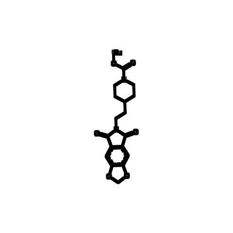 CC(C)(C)OC(=O)N1CCC(CCN2C(=O)c3cc4c(cc3C2=O)OCO4)CC1